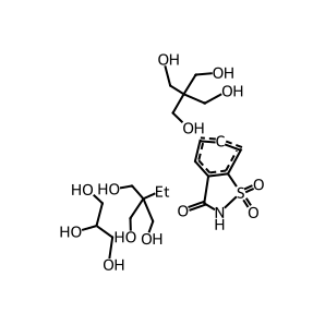 CCC(CO)(CO)CO.O=C1NS(=O)(=O)c2ccccc21.OCC(CO)(CO)CO.OCC(O)CO